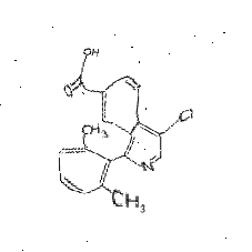 Cc1cccc(C)c1-c1ncc(Cl)c2ccc(C(=O)O)cc12